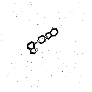 c1cc(N2CC[N+]3(CC2)CC2CCCCC2C3)c2occc2c1